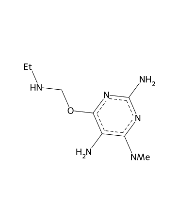 CCNCOc1nc(N)nc(NC)c1N